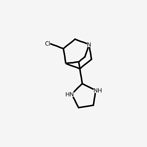 ClC1CN2CCC1C(C1NCCN1)C2